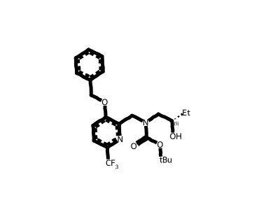 CC[C@H](O)CN(Cc1nc(C(F)(F)F)ccc1OCc1ccccc1)C(=O)OC(C)(C)C